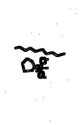 CCCCCCCCCC.CO[Si](C)(OC)C1CCCCC1